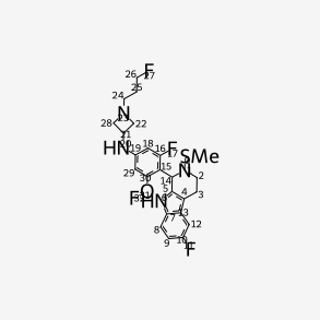 CSN1CCc2c([nH]c3ccc(F)cc23)C1c1c(F)cc(NC2CN(CCCF)C2)cc1OF